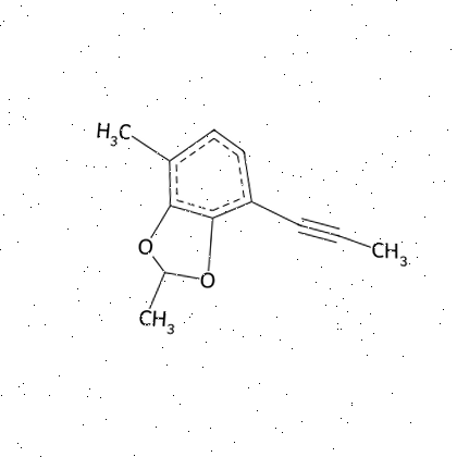 CC#Cc1ccc(C)c2c1OC(C)O2